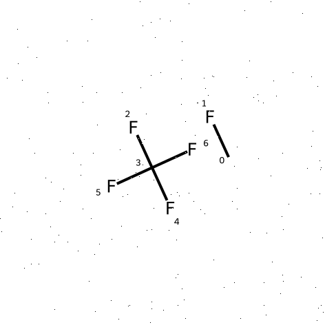 CF.FC(F)(F)F